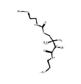 CC(=O)SCCNC(=O)OCC(C)(C)[C@@H](O)C(=O)NCCC(=O)O